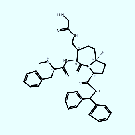 CN[C@H](Cc1ccccc1)C(=O)N[C@@H]1C(=O)N2[C@@H](CC[C@@H]1CNC(=O)CN)CC[C@H]2C(=O)NC(c1ccccc1)c1ccccc1